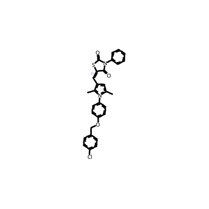 Cc1cc(/C=C2/SC(=O)N(c3ccccc3)C2=O)c(C)n1-c1ccc(OCc2ccc(Cl)cc2)cc1